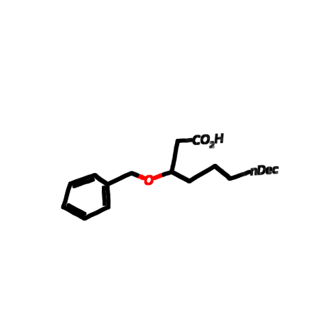 CCCCCCCCCCCCCC(CC(=O)O)OCc1ccccc1